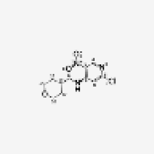 O=[N+]([O-])c1cnc(Cl)cc1NCC1CCOCC1